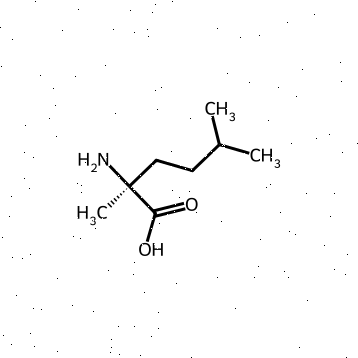 CC(C)CC[C@](C)(N)C(=O)O